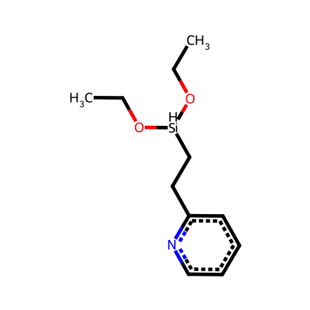 CCO[SiH](CCc1ccccn1)OCC